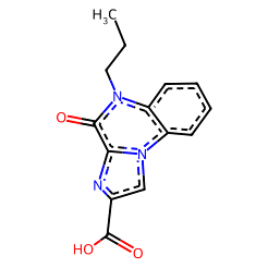 CCCn1c(=O)c2nc(C(=O)O)cn2c2ccccc21